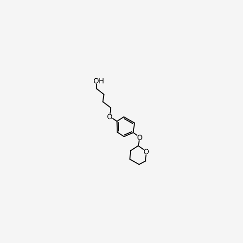 OCCCCOc1ccc(OC2CCCCO2)cc1